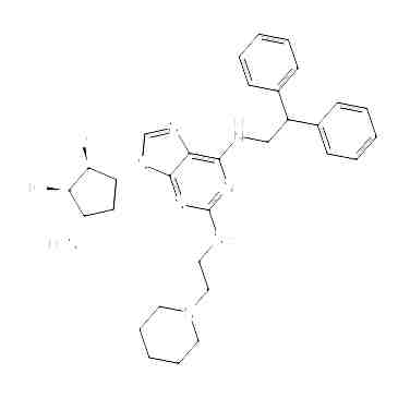 N[C@H]1C[C@@H](n2cnc3c(NCC(c4ccccc4)c4ccccc4)nc(NCCN4CCCCC4)nc32)[C@H](O)[C@@H]1O